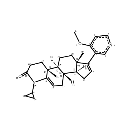 COc1ccncc1C1=CC[C@H]2[C@@H]3CC=C4N(C5CC5)C(=O)CC[C@]4(C)[C@H]3CC[C@]12C